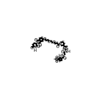 CS(=O)(=O)n1ccc(C(=O)NCC(=O)Nc2nc(C3CCCN(C(=O)CCOCCOCCOc4ccc5c(c4)C(=O)N(C4CCC(=O)NC4=O)C5=O)C3)cs2)c1